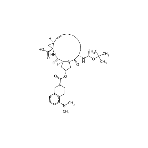 CN(C)c1cccc2c1CCN(C(=O)O[C@@H]1C[C@H]3C(=O)N[C@]4(C(=O)O)C[C@H]4C=CCCCCC[C@H](NC(=O)OC(C)(C)C)C(=O)N3C1)C2